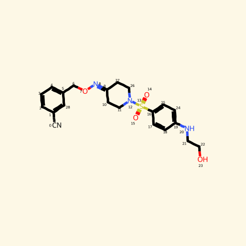 N#Cc1cccc(CON=C2CCN(S(=O)(=O)c3ccc(NCCO)cc3)CC2)c1